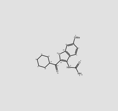 COc1ccc2c(NC(N)=O)c(C(=O)C3CCCCC3)oc2c1